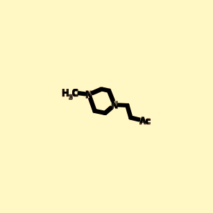 CC(=O)CCN1CCN(C)CC1